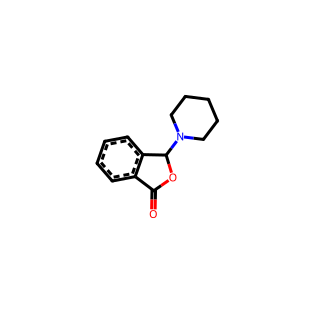 O=C1OC(N2CCCCC2)c2ccccc21